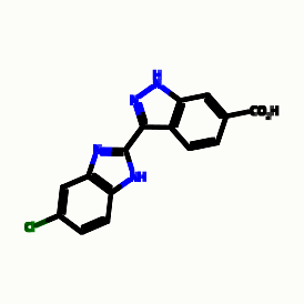 O=C(O)c1ccc2c(-c3nc4cc(Cl)ccc4[nH]3)n[nH]c2c1